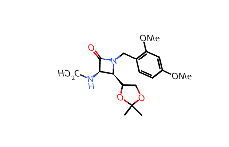 COc1ccc(CN2C(=O)[C@H](NC(=O)O)[C@@H]2C2COC(C)(C)O2)c(OC)c1